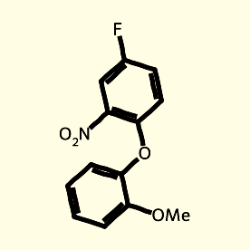 COc1ccccc1Oc1ccc(F)cc1[N+](=O)[O-]